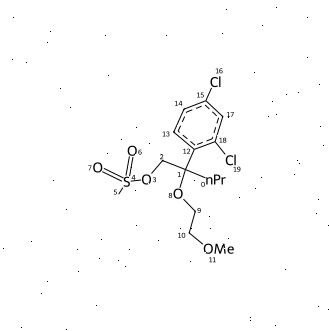 CCCC(COS(C)(=O)=O)(OCCOC)c1ccc(Cl)cc1Cl